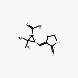 CC1(C)[C@H](C=C2CCSC2=O)[C@@H]1C(=O)O